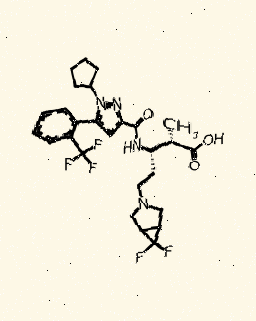 C[C@H](C(=O)O)[C@H](CCN1CC2C(C1)C2(F)F)NC(=O)c1cc(-c2ccccc2C(F)(F)F)n(C2CCCC2)n1